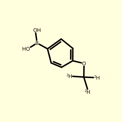 [2H]C([2H])([2H])Oc1ccc(B(O)O)cc1